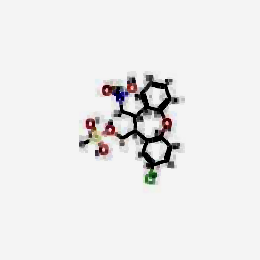 CS(=O)(=O)OCC1c2cc(Cl)ccc2Oc2ccccc2C1C[N+](=O)[O-]